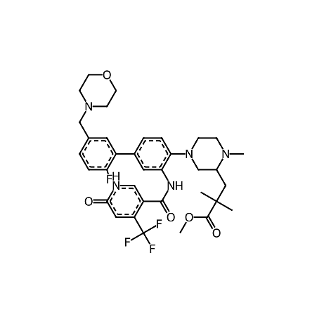 COC(=O)C(C)(C)CC1CN(c2ccc(-c3cc(CN4CCOCC4)ccc3F)cc2NC(=O)c2c[nH]c(=O)cc2C(F)(F)F)CCN1C